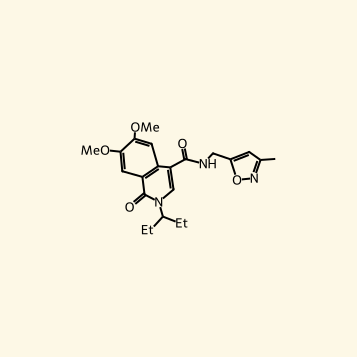 CCC(CC)n1cc(C(=O)NCc2cc(C)no2)c2cc(OC)c(OC)cc2c1=O